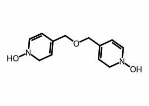 ON1C=CC(COCC2=CCN(O)C=C2)=CC1